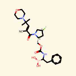 CC(C)(C=C(C#N)C(=O)N1C[C@@H](F)C[C@@H]1COC(=O)NC(Cc1ccccc1)B(O)O)N1CCOCC1